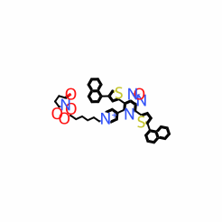 O=C(CCCCC[n+]1ccc(-c2nc(-c3ccc(-c4cccc5ccccc45)s3)c3nonc3c2-c2cc(-c3cccc4ccccc34)cs2)cc1)ON1C(=O)CCC1=O